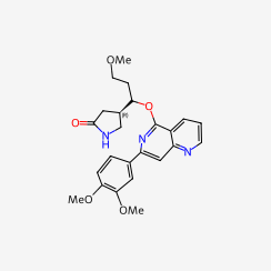 COCCC(Oc1nc(-c2ccc(OC)c(OC)c2)cc2ncccc12)[C@H]1CNC(=O)C1